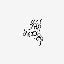 CCCC(C)OC(=O)Oc1ccc(C(C(C)COC(=O)OC(C)CC)[C@H](N)C(=O)O)cc1OC(=O)OC(C)CCC